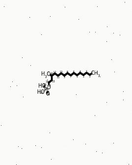 CCCCCCCCCCCCCC(C)CCOP(=O)(O)O